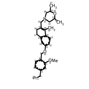 COc1cc(CC(C)C)ccc1COc1ccc2c(c1)CCC(CN1CC(C)OC(C)C1)=C2C